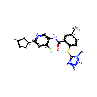 Cn1nnnc1Sc1ccc([N+](=O)[O-])cc1C(=O)Nc1cnc(C2CCCC2)cc1F